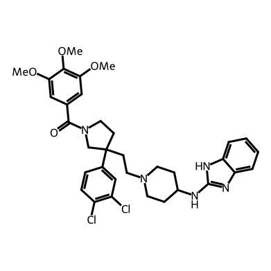 COc1cc(C(=O)N2CCC(CCN3CCC(Nc4nc5ccccc5[nH]4)CC3)(c3ccc(Cl)c(Cl)c3)C2)cc(OC)c1OC